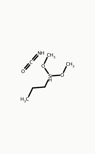 CCC[SiH](OC)OC.N=C=O